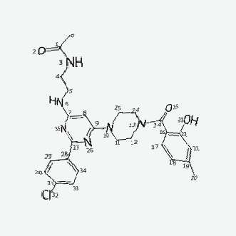 CC(=O)NCCNc1cc(N2CCN(C(=O)c3ccc(C)cc3O)CC2)nc(-c2ccc(Cl)cc2)n1